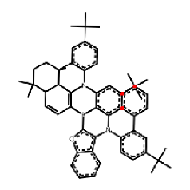 CC(C)(C)c1ccc(N2c3cc(C(C)(C)C)cc4c3B(C3=C5C6C(C=C3)C(C)(C)CCC6(C)c3cc(C(C)(C)C)ccc3N54)c3oc4ccccc4c32)c(-c2ccccc2)c1